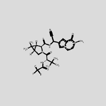 Cn1ccn2cc(C(C#N)NC(=O)[C@@H]3[C@@H]4[C@H](CN3C(=O)[C@@H](NC(=O)C(F)(F)F)C(C)(C)C)C4(C)C)cc2c1=O